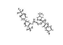 CC1C[C@@H](C(=O)NCc2cc(-c3cnc(C(F)(F)F)nc3)ncc2C(F)(F)F)N(S(=O)(=O)c2cc3cc(F)ccc3o2)C1